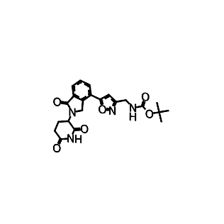 CC(C)(C)OC(=O)NCc1cc(-c2cccc3c2CN(C2CCC(=O)NC2=O)C3=O)on1